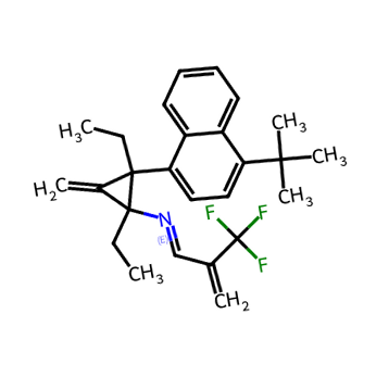 C=C(/C=N/C1(CC)C(=C)C1(CC)c1ccc(C(C)(C)C)c2ccccc12)C(F)(F)F